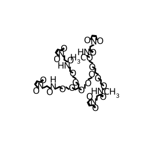 CC(NC(=O)CCN1C(=O)C=CC1=O)OCCOCC(COCCOC(C)NC(=O)CCN1C(=O)C=CC1=O)OCCOCCOC(COCCOCCNC(=O)CCN1C(=O)C=CC1=O)COCCOCCNC(=O)CCN1C(=O)C=CC1=O